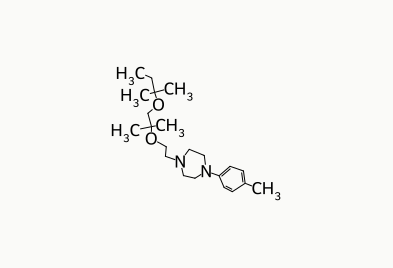 CCC(C)(C)OCC(C)(C)OCCN1CCN(c2ccc(C)cc2)CC1